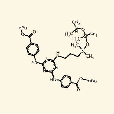 CCCCOC(=O)c1ccc(Nc2nc(NCCC[Si](C)(C)O[Si](C)(C)O[SiH](C)C)nc(Nc3ccc(C(=O)OCCCC)cc3)n2)cc1